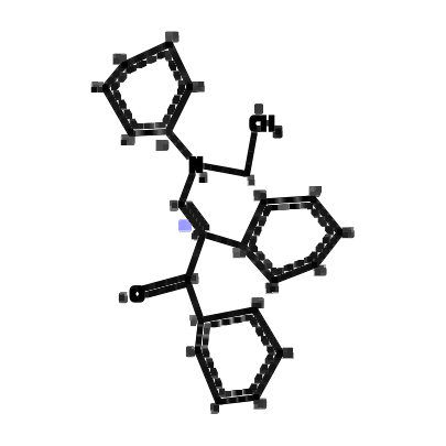 CCN(/C=C(/C(=O)c1ccccc1)c1ccccc1)c1ccccc1